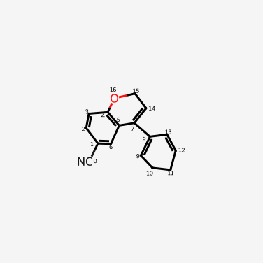 N#Cc1ccc2c(c1)C(C1=CCCC=C1)=CCO2